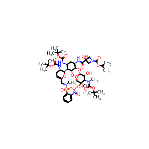 C=C(C)OC(=O)N1CC(O)(C(=O)N[C@@H]2C[C@H](NC(=O)OC(C)(C)C)C([C@H]3OC(CN(C)S(=O)(=O)c4ccccc4[N+](=O)[O-])=CC[C@H]3NC(=O)OC(C)(C)C)[C@H](O)[C@H]2O[C@H]2OC[C@](C)(O)[C@H](N(C)C(=O)OC(C)(C)C)[C@H]2O)C1